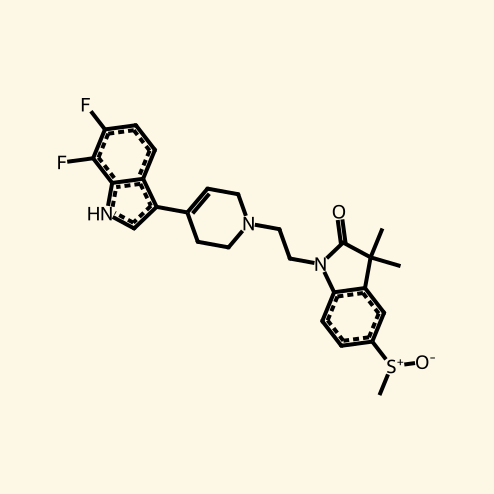 C[S+]([O-])c1ccc2c(c1)C(C)(C)C(=O)N2CCN1CC=C(c2c[nH]c3c(F)c(F)ccc23)CC1